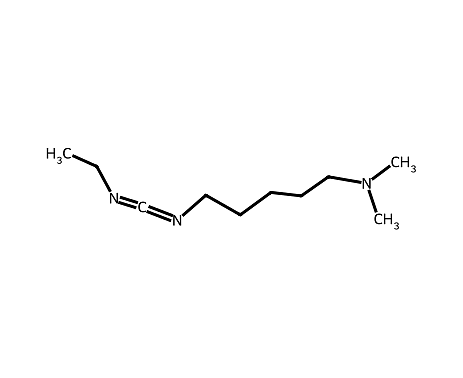 CCN=C=NCCCCCN(C)C